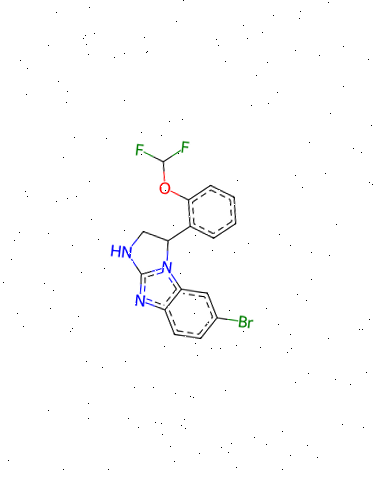 FC(F)Oc1ccccc1C1CNc2nc3ccc(Br)cc3n21